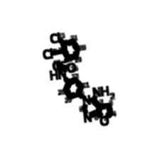 NC1=c2ccoc2=NCN1c1ccc(NS(=O)(=O)c2cccc(Cl)c2Cl)cc1